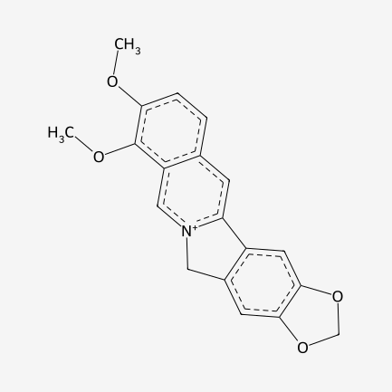 COc1ccc2cc3[n+](cc2c1OC)Cc1cc2c(cc1-3)OCO2